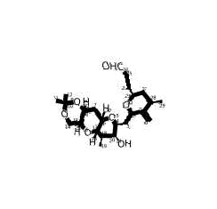 C=C1C(C[C@@H]2O[C@H]3C[C@H]4OC(C)(C)OC[C@H]4O[C@H]3[C@H](C)[C@H]2O)O[C@@H](CCC=O)C[C@H]1C